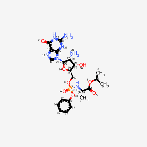 CC(C)OC(=O)[C@H](C)N[P@](=O)(OC[C@H]1O[C@@H](n2cnc3c(=O)[nH]c(N)nc32)[C@H](N)[C@@H]1O)Oc1ccccc1